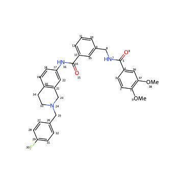 COc1ccc(C(=O)NCc2cccc(C(=O)Nc3ccc4c(c3)CN(Cc3ccc(F)cc3)CC4)c2)cc1OC